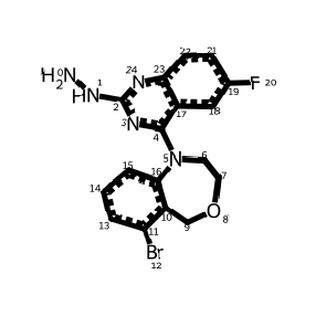 NNc1nc(N2CCOCc3c(Br)cccc32)c2cc(F)ccc2n1